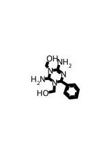 NC1=NC(c2ccccc2)N(CO)C(N)N1CO